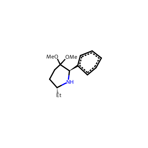 CC[C@@H]1CCC(OC)(OC)[C@@H](c2ccccc2)N1